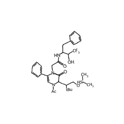 CC(=O)N1C=C(c2ccccc2)N(CC(=O)NC(Cc2ccccc2)C(O)C(F)(F)F)C(=O)C1C(CO[SiH](C)C)C(C)(C)C